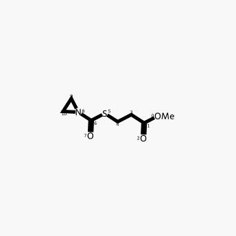 COC(=O)CCSC(=O)N1CC1